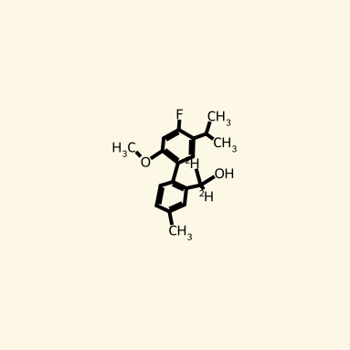 [2H]C([2H])(O)c1cc(C)ccc1-c1cc(C(C)C)c(F)cc1OC